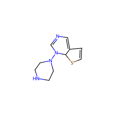 C1=CC2=CN=CN(N3CCNCC3)C2S1